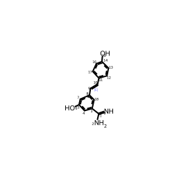 N=C(N)c1cc(O)cc(/C=C/c2ccc(O)cc2)c1